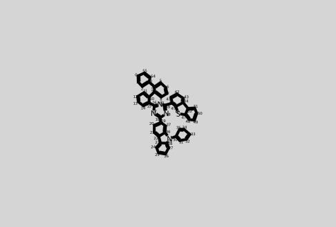 c1ccc(-c2ccccc2-c2ccccc2-c2nc(-c3ccc4c5ccccc5n(-c5ccccc5)c4c3)nc(-c3cccc4c3sc3ccccc34)n2)cc1